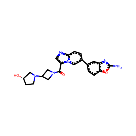 Nc1nc2cc(-c3ccc4ncc(C(=O)N5CC(N6CC[C@H](O)C6)C5)n4c3)ccc2o1